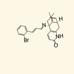 C/C=C1\[C@H]2C=C(C)C[C@]1(N=CC=Cc1ccccc1Br)c1ccc(=O)[nH]c1C2